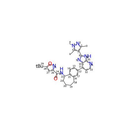 Cc1nn(C)c(C)c1-c1nc2c(-c3ccc4c(c3)CCCCC4NC(=O)c3cc(C(C)(C)C)on3)ccnc2[nH]1